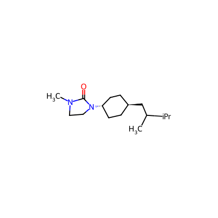 CC(C)C(C)C[C@H]1CC[C@H](N2CCN(C)C2=O)CC1